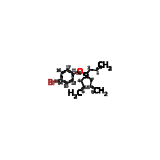 C=CC[Si](CC=C)(CC=C)Oc1ccc(Br)cc1